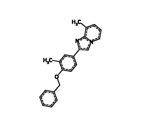 Cc1cc(-c2cn3cccc(C)c3n2)ccc1OCc1ccccc1